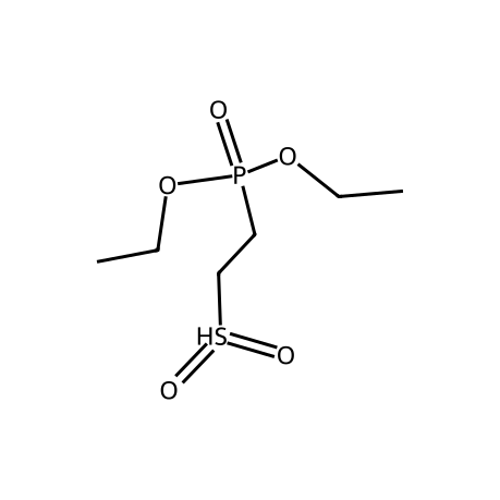 CCOP(=O)(CC[SH](=O)=O)OCC